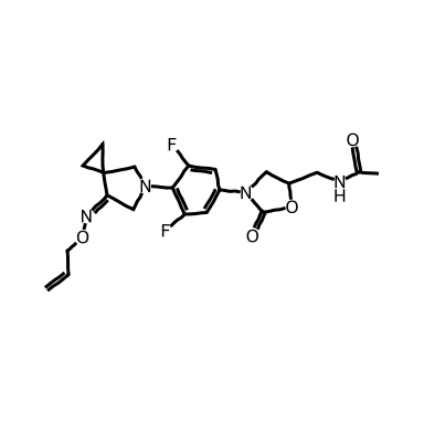 C=CCON=C1CN(c2c(F)cc(N3CC(CNC(C)=O)OC3=O)cc2F)CC12CC2